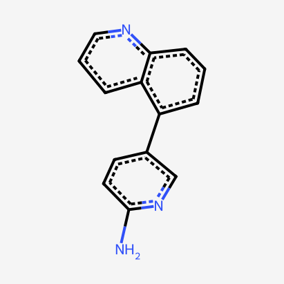 Nc1ccc(-c2cccc3ncccc23)cn1